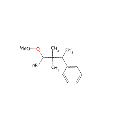 CCCC(OOC)C(C)(C)C(C)c1ccccc1